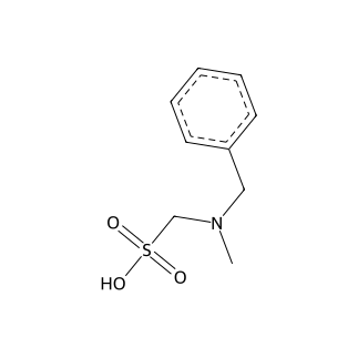 CN(Cc1ccccc1)CS(=O)(=O)O